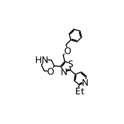 CCc1cc(-c2nc(C3CNCCO3)c(COCc3ccccc3)s2)ccn1